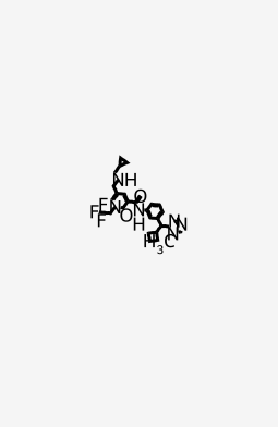 Cn1cnnc1C(c1cccc(NC(=O)c2cc(CNCC3CC3)cn(CC(F)(F)F)c2=O)c1)C1CCC1